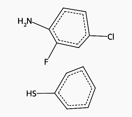 Nc1ccc(Cl)cc1F.Sc1ccccc1